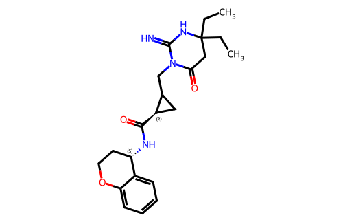 CCC1(CC)CC(=O)N(CC2C[C@H]2C(=O)N[C@H]2CCOc3ccccc32)C(=N)N1